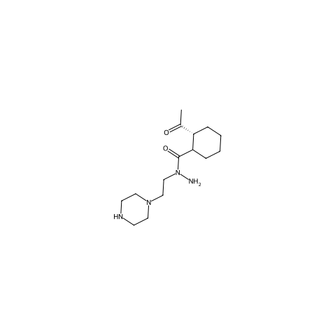 CC(=O)[C@@H]1CCCCC1C(=O)N(N)CCN1CCNCC1